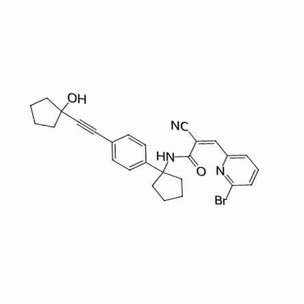 N#CC(=Cc1cccc(Br)n1)C(=O)NC1(c2ccc(C#CC3(O)CCCC3)cc2)CCCC1